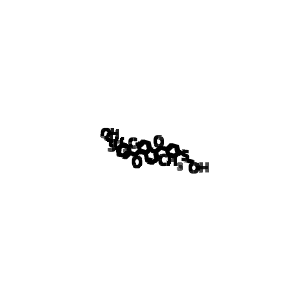 Cc1ccc2c(C(=O)c3ccc(SCCO)cc3)c(C)ccc2c1C(=O)c1ccc(SCCO)cc1